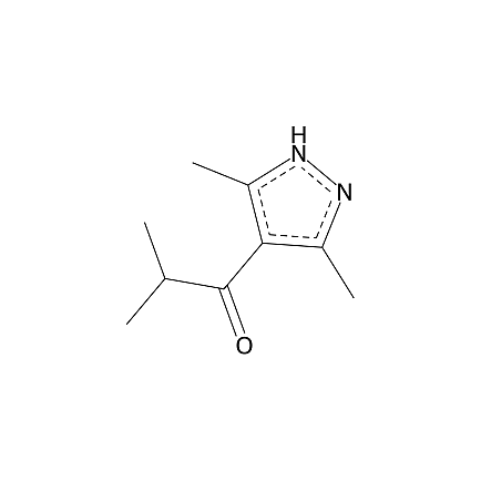 Cc1n[nH]c(C)c1C(=O)C(C)C